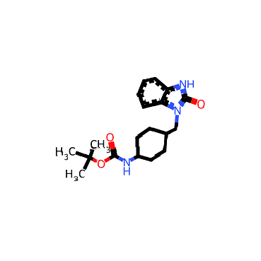 CC(C)(C)OC(=O)NC1CCC(Cn2c(=O)[nH]c3ccccc32)CC1